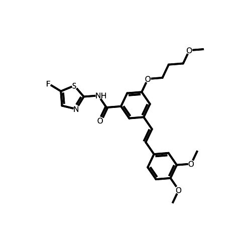 COCCCOc1cc(/C=C/c2ccc(OC)c(OC)c2)cc(C(=O)Nc2ncc(F)s2)c1